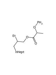 CCCCCCCCC(CC)COC(=O)C(C)OP